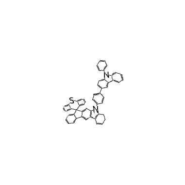 C1=Cc2c(n(-c3ccc(-c4ccc5c(c4)c4ccccc4n5-c4ccccc4)cc3)c3cc4c(cc23)-c2ccccc2C42c3ccccc3Sc3ccccc32)CC1